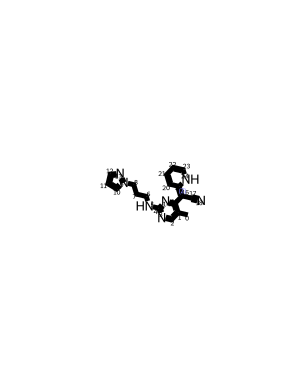 Cc1cnc(NCCCn2cccn2)nc1/C(C#N)=C1\C=CC=CN1